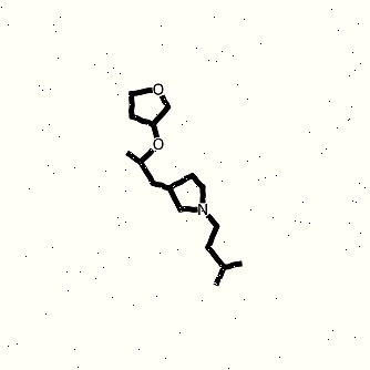 CC(C)CCN1CCC(CC(C)OC2CCOC2)C1